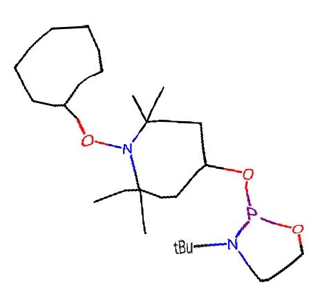 CC(C)(C)N1CCOP1OC1CC(C)(C)N(OC2CCCCC2)C(C)(C)C1